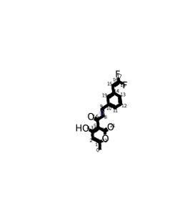 Cc1cc(O)c(C(=O)/C=C/c2cccc(C=C(F)F)c2)c(=O)o1